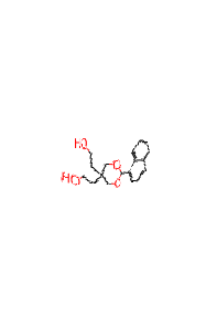 OCCC1(CCO)COC(c2cccc3ccccc23)OC1